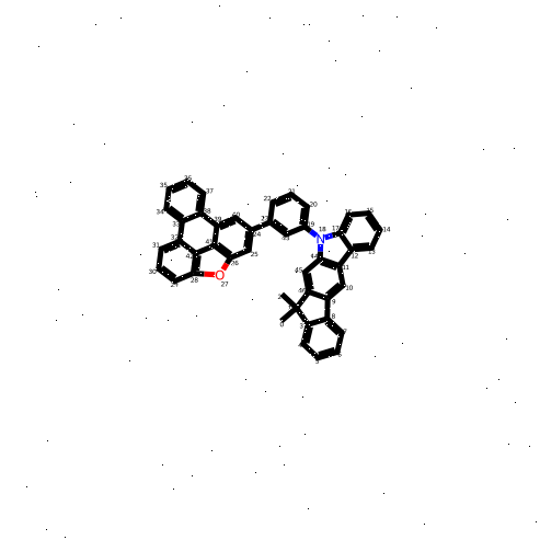 CC1(C)c2ccccc2-c2cc3c4ccccc4n(-c4cccc(-c5cc6oc7cccc8c9ccccc9c(c5)c6c78)c4)c3cc21